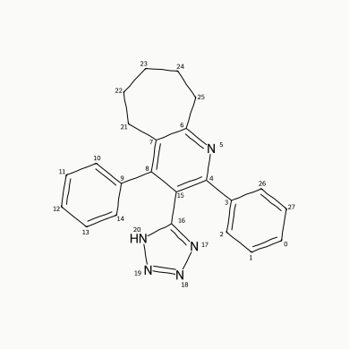 c1ccc(-c2nc3c(c(-c4ccccc4)c2-c2nnn[nH]2)CCCCC3)cc1